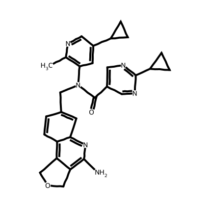 Cc1ncc(C2CC2)cc1N(Cc1ccc2c3c(c(N)nc2c1)COC3)C(=O)c1cnc(C2CC2)nc1